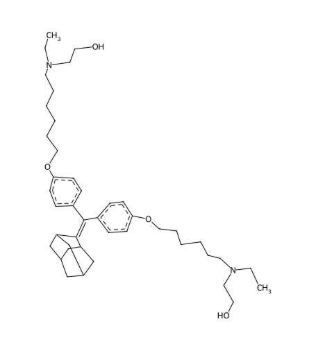 CCN(CCO)CCCCCCOc1ccc(C(=C2C3CC4CC(C3)CC2C4)c2ccc(OCCCCCCN(CC)CCO)cc2)cc1